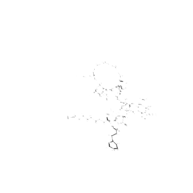 CCCCC[C@H]1CCCCCCCCCC(=O)O[C@@H]2C(OC3C(O1)O[C@H](C)[C@H](O)[C@@H]3O)O[C@@H](C)[C@H](O[C@@H]1O[C@@H](C)[C@H](O[C@@H]3O[C@@H](C)C(OC(=O)CCCCCCCCC(C)C)[C@@H](OC(=O)/C=C/c4ccccc4)[C@H]3O)C(O[C@@H]3O[C@H](CO)[C@@H](O)[C@H](O)[C@@H]3O)C1C)[C@H]2O